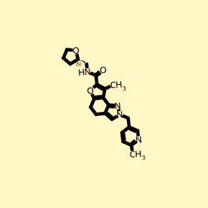 Cc1ccc(Cn2cc3c(n2)-c2c(oc(C(=O)NC[C@@H]4CCCO4)c2C)CC3)cn1